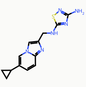 Nc1nsc(NCc2cn3cc(C4CC4)ccc3n2)n1